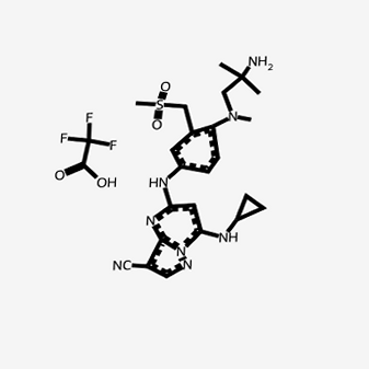 CN(CC(C)(C)N)c1ccc(Nc2cc(NC3CC3)n3ncc(C#N)c3n2)cc1CS(C)(=O)=O.O=C(O)C(F)(F)F